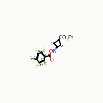 CCOC(=O)C1CC(=NOC(=O)c2c(F)c(F)c(F)c(F)c2F)C1